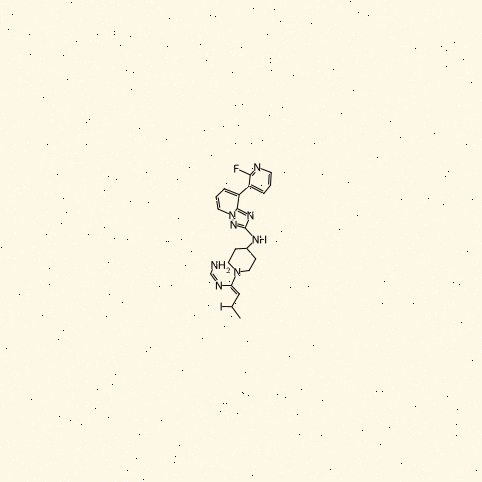 CC(I)/C=C(\N=C/N)N1CCC(Nc2nc3c(-c4cccnc4F)cccn3n2)CC1